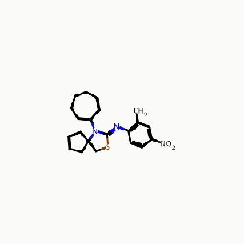 Cc1cc([N+](=O)[O-])ccc1N=C1SCC2(CCCC2)N1C1CCCCCC1